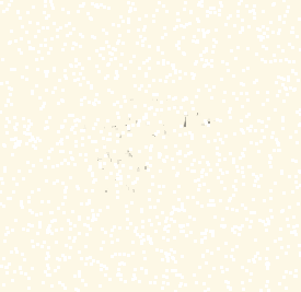 CC(=O)O[C@H]1C[C@H]2[C@@H]([C@H](OC(C)=O)C[C@@H]3C[C@H](O)[C@H](Br)[C@@H](O)[C@@]32C)[C@@H]2CC[C@H]([C@H](C)CCC(=O)OC(C)C)[C@@]12C